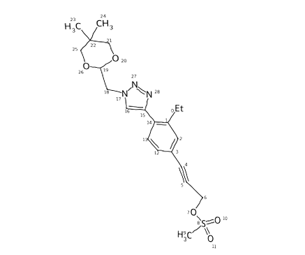 CCc1cc(C#CCOS(C)(=O)=O)ccc1-c1cn(CC2OCC(C)(C)CO2)nn1